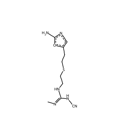 C/N=C(/NC#N)NCCSCCc1cnc(N)o1